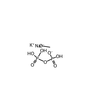 C[O-].O=P([O-])(O)OP(=O)(O)O.[K+].[Na+]